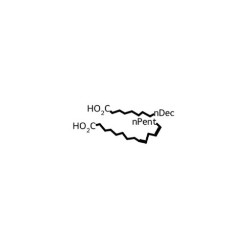 CCCCC/C=C\C/C=C\CCCCCCCC(=O)O.CCCCCCCCCCCCCCCCCC(=O)O